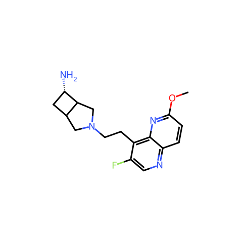 COc1ccc2ncc(F)c(CCN3CC4C[C@H](N)C4C3)c2n1